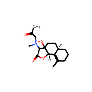 COC(=O)CN(C)C1C(=O)O[C@H]2C3=C(C)CCC[C@]3(C)CCC12O